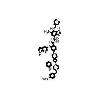 COc1ccc(CN2CCN(C3CC4(CCN(c5ccc(C(=O)NS(=O)(=O)c6cc(N)c(NCC7(F)CCOCC7)c7[nH]cnc67)c(Oc6cnc7[nH]ccc7c6)c5)CC4)C3)[C@H](c3ccccc3C(C)C)C2)cc1